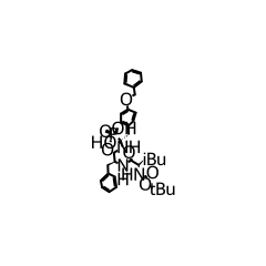 CC[C@H](C)[C@H](NC(=O)OC(C)(C)C)C(=O)N[C@@H](Cc1ccccc1)C(=O)N[C@@H](Cc1ccc(OCc2ccccc2)cc1)P(=O)(O)O